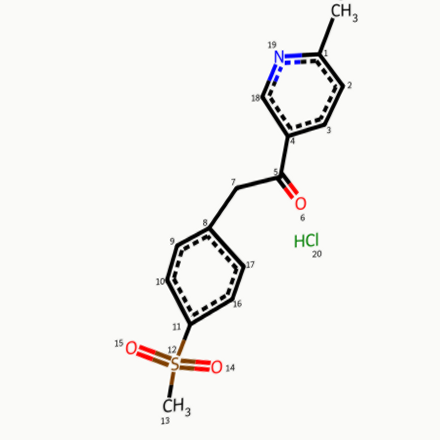 Cc1ccc(C(=O)Cc2ccc(S(C)(=O)=O)cc2)cn1.Cl